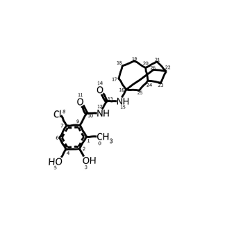 Cc1c(O)c(O)cc(Cl)c1C(=O)NC(=O)NC12CCCC3CC(CC3C1)C2